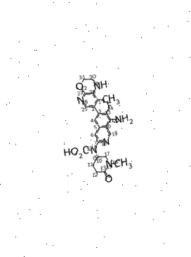 Cc1c(-c2cc3cc(N(C(=O)O)[C@H]4CCC(=O)N(C)C4)ncc3c(N)c2F)cnc2c1NCCO2